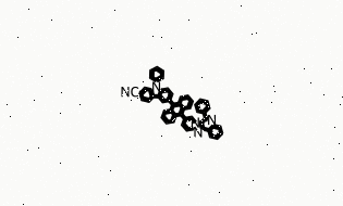 N#Cc1ccc2c3cc(-c4c5ccccc5c(-c5ccc6nc7c8ccccc8nc(-c8ccccc8)c7n6c5)c5ccccc45)ccc3n(-c3ccccc3)c2c1